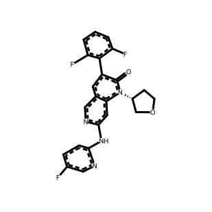 O=c1c(-c2c(F)cccc2F)cc2cnc(Nc3ccc(F)cn3)cc2n1[C@@H]1CCOC1